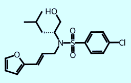 CC(C)C[C@H](CO)N(CC=Cc1ccco1)S(=O)(=O)c1ccc(Cl)cc1